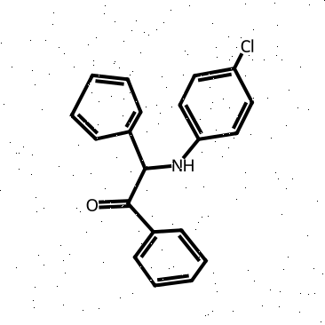 O=C(c1ccccc1)C(Nc1ccc(Cl)cc1)c1ccccc1